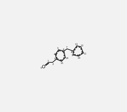 O=[C]Cc1ccc(Cc2ccccc2)cc1